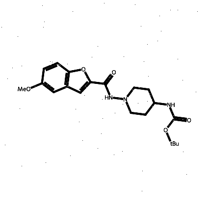 COc1ccc2oc(C(=O)NN3CCC(NC(=O)OC(C)(C)C)CC3)cc2c1